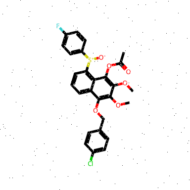 COc1c(OC)c(OC(C)=O)c2c([S+]([O-])c3ccc(F)cc3)cccc2c1OCc1ccc(Cl)cc1